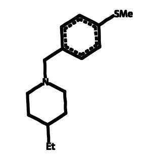 CCC1CCN(Cc2ccc(SC)cc2)CC1